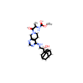 CC(C)C(NC(=O)OC(C)(C)C)C(=O)N1CCc2c(ncnc2NC[C@H](O)C23CC4CC(CC(C4)C2)C3)C1